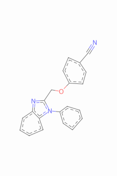 N#Cc1ccc(OCc2nc3ccccc3n2-c2ccccc2)cc1